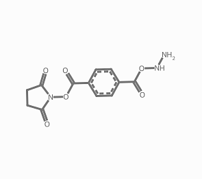 NNOC(=O)c1ccc(C(=O)ON2C(=O)CCC2=O)cc1